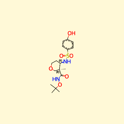 CC(C)(C)ONC(=O)[C@@]1(C)COCC[C@H]1NS(=O)(=O)c1ccc(O)cc1